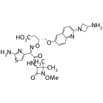 CON1C(=O)[C@@H](NC(=O)/C(=N\O[C@@H](COc2ccc3nc(N4CC(N)C4)ccc3c2)CC(=O)O)c2csc(N)n2)C1(C)C